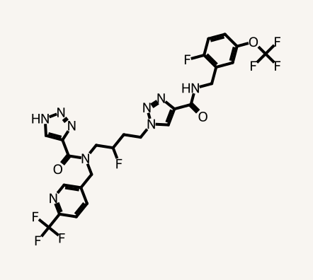 O=C(NCc1cc(OC(F)(F)F)ccc1F)c1cn(CCC(F)CN(Cc2ccc(C(F)(F)F)nc2)C(=O)c2c[nH]nn2)nn1